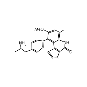 COc1cc(C)c2[nH]c(=O)c3sccc3c2c1-c1ccc(CC(C)N)cc1